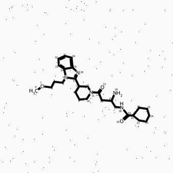 COCCCn1c(C2CCCN(C(=O)CC(N)CNC(=O)C3CCCCC3)C2)nc2ccccc21